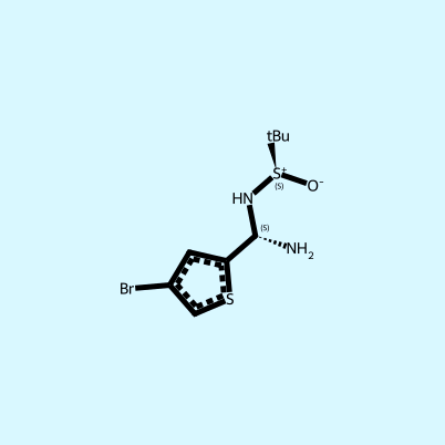 CC(C)(C)[S@@+]([O-])N[C@H](N)c1cc(Br)cs1